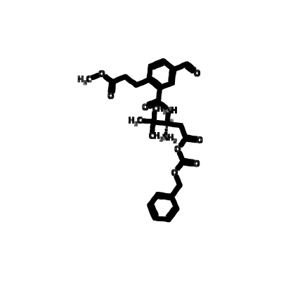 COC(=O)CCc1ccc(C=O)cc1C(=O)N[C@@](N)(CC(=O)OC(=O)OCc1ccccc1)C(C)(C)C